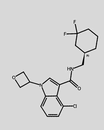 O=C(NC[C@@H]1CCCC(F)(F)C1)c1cn(C2COC2)c2cccc(Cl)c12